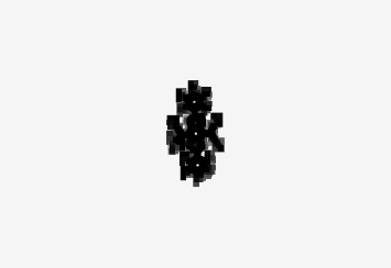 N#CC(C#N)=c1c2cc(-c3c(F)c(F)c(F)c(F)c3F)sc2/c(=C(/C#N)C(F)(F)F)c2cc(-c3c(F)c(F)c(F)c(F)c3F)sc12